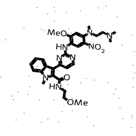 COCCNC(=O)c1c(-c2ccnc(Nc3cc([N+](=O)[O-])c(N(C)CCN(C)C)cc3OC)n2)c2ccccc2n1C